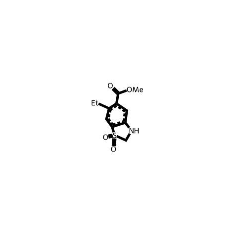 CCc1cc2c(cc1C(=O)OC)NCS2(=O)=O